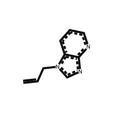 C=CCn1cnc2ncccc21